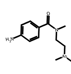 CN(CC[As](C)C)C(=O)c1ccc(N)cc1